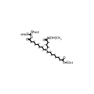 CCCCCCCCOC(=O)CCCCCCCN(CCCCCCCC(=O)OC(CCCCC)CCCCCC)CCCC(=O)N(C)O